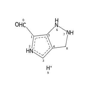 O=Cc1[nH]cc2c1NNC2.[H+]